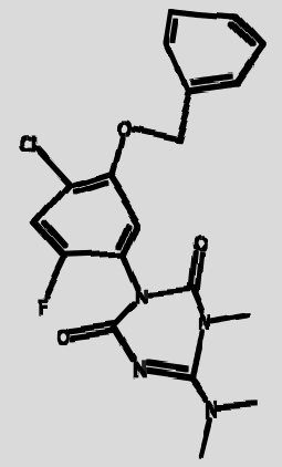 CN(C)c1nc(=O)n(-c2cc(OCc3ccccc3)c(Cl)cc2F)c(=O)n1C